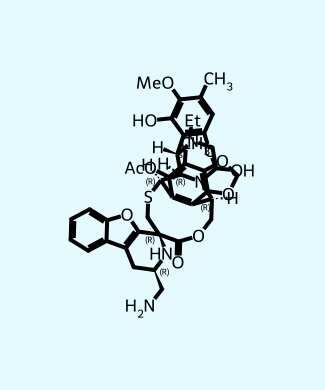 CCN1CC2(O)Cc3cc(C)c(OC)c(O)c3[C@H]1[C@@H]1[C@@H]3SC[C@]4(N[C@@H](CN)Cc5c4oc4ccccc54)C(=O)OC[C@@H](c4c5c(c(C)c(OC(C)=O)c43)OCO5)N12